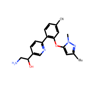 Cn1nc(C(C)(C)C)cc1Oc1cc(C#N)ccc1-c1ccc(C(O)CN)cn1